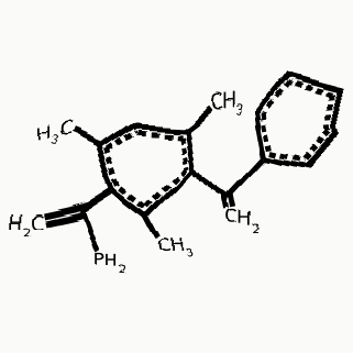 C=C(P)c1c(C)cc(C)c(C(=C)c2ccccc2)c1C